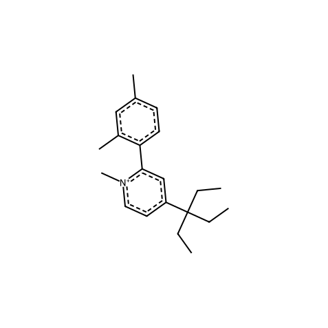 CCC(CC)(CC)c1cc[n+](C)c(-c2ccc(C)cc2C)c1